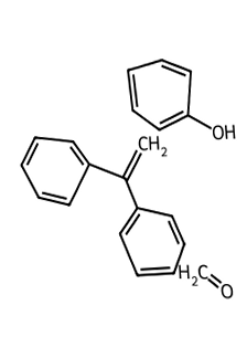 C=C(c1ccccc1)c1ccccc1.C=O.Oc1ccccc1